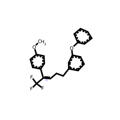 COc1ccc(/C(=C\CCc2cccc(Oc3ccccc3)c2)C(F)(F)F)cc1